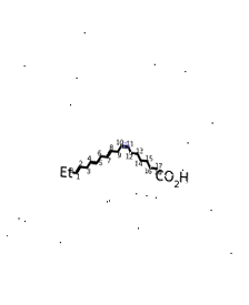 CCC=CCC=CCC=CC/C=C\CCCCCCC(=O)O